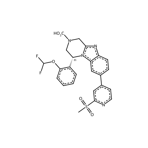 CS(=O)(=O)c1cc(-c2ccc3nc4n(c3c2)[C@H](c2ccccc2OC(F)F)CN(C(=O)O)C4)ccn1